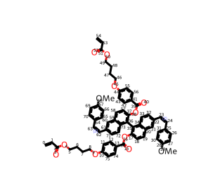 C=CC(=O)OCCCCOc1ccc(C(=O)Oc2ccc3cc(/C=C\c4ccc(OC)cc4)ccc3c2-c2c(OC(=O)c3ccc(OCCCCOC(=O)C=C)cc3)ccc3cc(/C=C\c4ccc(OC)cc4)ccc23)cc1